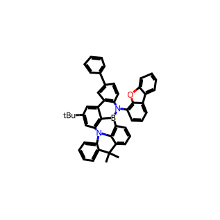 CC(C)(C)c1cc2c3c(c1)N1c4ccccc4C(C)(C)c4cccc(c41)B3N(c1cccc3c1oc1ccccc13)c1ccc(-c3ccccc3)cc1-2